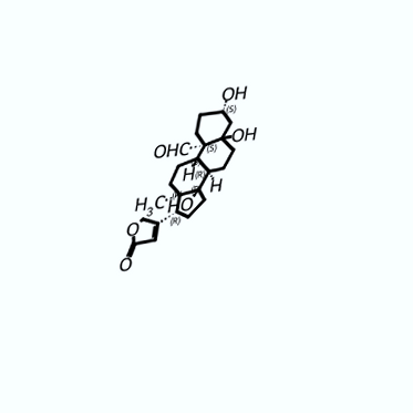 C[C@]12CC[C@H]3[C@@H](CCC4(O)C[C@@H](O)CC[C@]34C=O)[C@]1(O)CC[C@@H]2C1=CC(=O)OC1